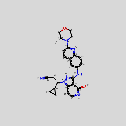 C[C@@H]1COCCN1c1ccc2cc(Nc3nn([C@@H](CC#N)C4CC4)c4cc[nH]c(=O)c34)ccc2n1